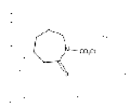 CCOC(=O)N1CCCCCC1=O